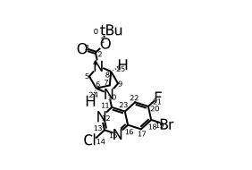 CC(C)(C)OC(=O)N1C[C@H]2C[C@@H]1CN2c1nc(Cl)nc2cc(Br)c(F)cc12